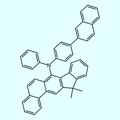 CC1(C)c2ccccc2-c2c1cc1c(ccc3ccccc31)c2N(c1ccccc1)c1ccc(-c2ccc3ccccc3c2)cc1